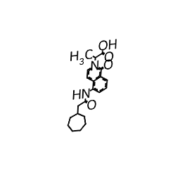 CC(C(=O)O)n1ccc2c(NC(=O)CC3CCCCCC3)cccc2c1=O